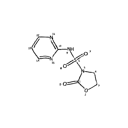 O=C1OCCN1S(=O)(=O)Nc1ncccn1